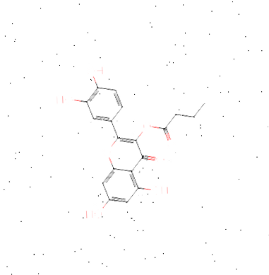 CCCC(=O)Oc1c(-c2ccc(O)c(O)c2)oc2cc(O)cc(O)c2c1=O